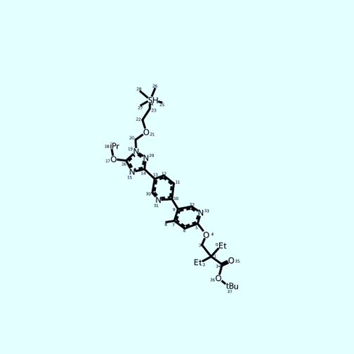 CCC(CC)(COc1cc(C)c(-c2ccc(-c3nc(OC(C)C)n(COCC[SH](C)(C)(C)C)n3)cn2)cn1)C(=O)OC(C)(C)C